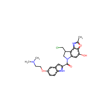 Cc1nc2c3c(cc(O)c2o1)N(C(=O)c1cc2cc(OCCN(C)C)ccc2[nH]1)CC3CCl